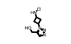 OCc1cnnn1C1CC(NCl)C1